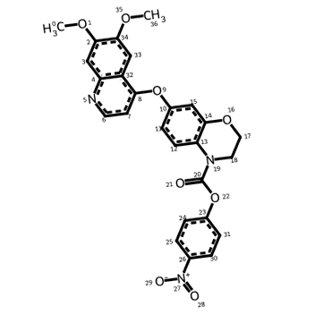 COc1cc2nccc(Oc3ccc4c(c3)OCCN4C(=O)Oc3ccc([N+](=O)[O-])cc3)c2cc1OC